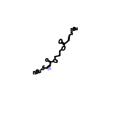 CCCCSC=CC(=O)OCCCOC(=O)/C=C\SCCCC